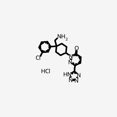 Cl.NCC1(c2cccc(Cl)c2)CCC(n2nc(-c3nnn[nH]3)ccc2=O)CC1